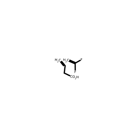 C=C(F)F.C=CCC(=O)O